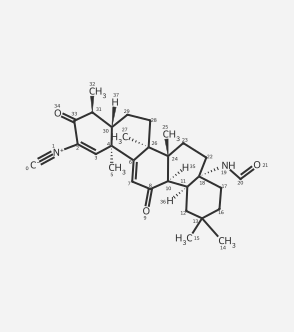 [C-]#[N+]C1=C[C@]2(C)C3=CC(=O)[C@@H]4[C@@H]5CC(C)(C)CC[C@]5(NC=O)CC[C@@]4(C)[C@]3(C)CC[C@H]2[C@H](C)C1=O